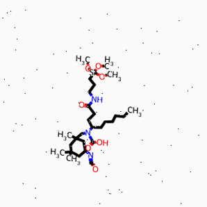 CCCCCCC(CCC(=O)NCCC[Si](OC)(OC)OC)N(CC1(C)CC(N=C=O)CC(C)(C)C1)C(=O)O